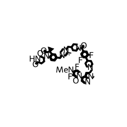 CNc1c(F)cn(-c2ccnc3c2cc(CN2CCC(c4c(F)cc(C(=O)N5CCC(CN6CCN(Cc7ccc8c(c7)C7(CC7)C(=O)N8C7CCC(=O)NC7=O)C[C@@H]6C)CC5)cc4F)CC2)n3C)c(=O)c1F